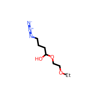 CCOCCOC(O)CCCN=[N+]=[N-]